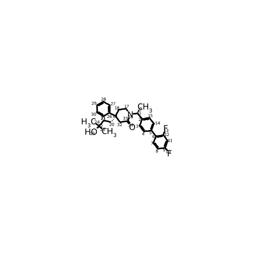 C[C@@H](c1ccc(-c2ccc(F)cc2F)cc1)N1CC[C@](CCC(C)(C)O)(c2ccccc2)CC1=O